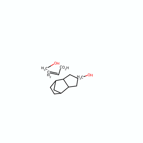 C1CC2C3CCC(C3)C2C1.C=CC(=O)O.CO.CO